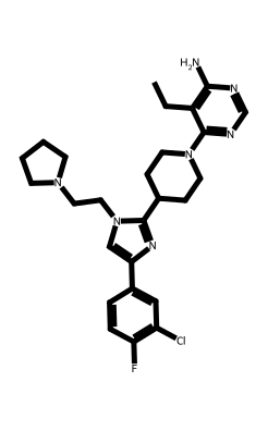 CCc1c(N)ncnc1N1CCC(c2nc(-c3ccc(F)c(Cl)c3)cn2CCN2CCCC2)CC1